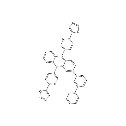 c1ccc(-c2cccc(-c3ccc4c(-c5ccc(-c6cnco6)nc5)c5ccccc5c(-c5ccc(-c6cnco6)nc5)c4c3)c2)cc1